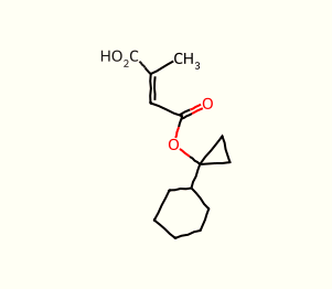 CC(=CC(=O)OC1(C2CCCCC2)CC1)C(=O)O